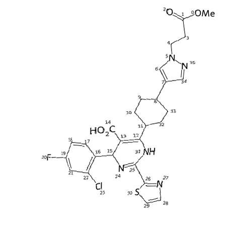 COC(=O)CCn1cc(C2CCC(C3=C(C(=O)O)C(c4ccc(F)cc4Cl)N=C(c4nccs4)N3)CC2)cn1